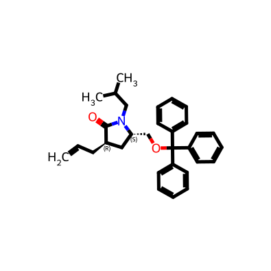 C=CC[C@@H]1C[C@@H](COC(c2ccccc2)(c2ccccc2)c2ccccc2)N(CC(C)C)C1=O